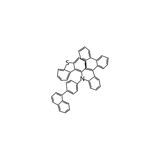 c1ccc(N(c2ccc(-c3cccc4ccccc34)cc2)c2cccc3sc4ccccc4c23)c(-c2cc3ccccc3c3ccccc23)c1